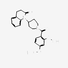 COc1ccc(C(=O)N2CCC(N3C(=O)CCc4ccccc43)CC2)c(OC)c1